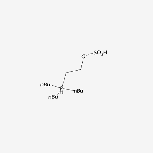 CCCC[PH](CCCC)(CCCC)CCOS(=O)(=O)O